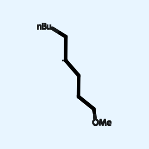 CCCCC[CH]CCCOC